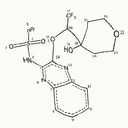 CCCS(=O)(=O)Nc1nc2ccccc2nc1OC(C(F)(F)F)C1(O)CCOCC1